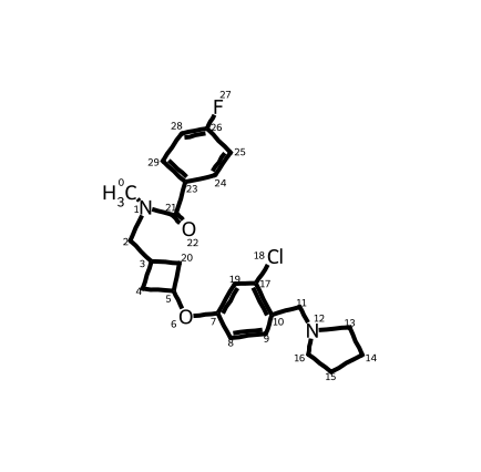 CN(CC1CC(Oc2ccc(CN3CCCC3)c(Cl)c2)C1)C(=O)c1ccc(F)cc1